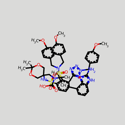 COc1ccc(CN(Cc2ccc(OC)cc2)S(=O)(=O)c2c(S(=O)(=O)NC3(CN(C(=O)O)C(C)(C)C)COC(C)(C)OC3)ccc(-c3cccc4[nH]c(N)nc34)c2-c2nnn(Cc3ccc(OC)cc3)n2)cc1